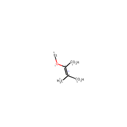 CCO/C(C(=O)O)=C(\C)C(=O)O